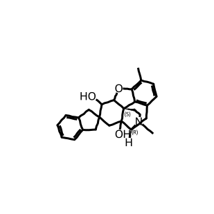 Cc1ccc2c3c1OC1C(O)C4(Cc5ccccc5C4)CC4(O)[C@@H](C2)N(C)CC[C@]314